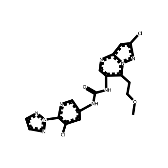 COCCc1c(NC(=O)Nc2cnc(-n3nccn3)c(Cl)c2)cnc2cc(Cl)nn12